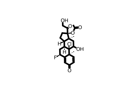 CC(=O)O[C@]1(C(=O)CO)CC[C@H]2[C@@H]3C[C@H](F)C4=CC(=O)C=C[C@]4(C)[C@@]3(Cl)C(O)C[C@@]21C